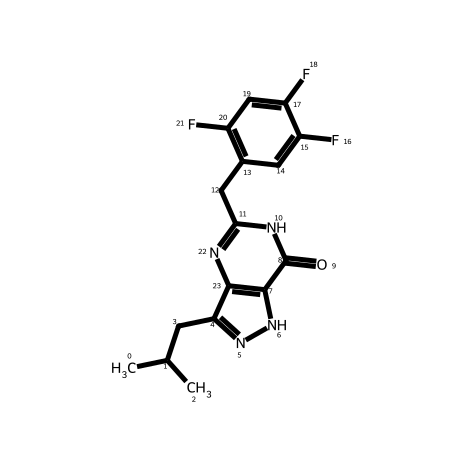 CC(C)Cc1n[nH]c2c(=O)[nH]c(Cc3cc(F)c(F)cc3F)nc12